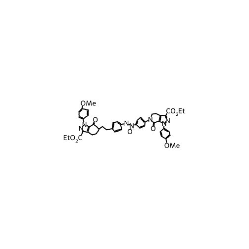 CCOC(=O)c1nn(-c2ccc(OC)cc2)c2c1CCC(CCc1ccc(/N=[N+](\[O-])c3ccc(N4CCc5c(C(=O)OCC)nn(-c6ccc(OC)cc6)c5C4=O)cc3)cc1)C2=O